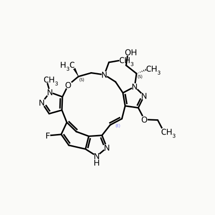 CCOc1nn([C@@H](C)CO)c2c1/C=C/c1n[nH]c3cc(F)c(cc13)-c1cnn(C)c1O[C@@H](C)CN(CC)C2